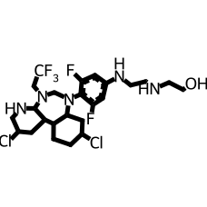 OCCNCCNc1cc(F)c(N2CN(CC(F)(F)F)C3NCC(Cl)CC3C3CCC(Cl)CC32)c(F)c1